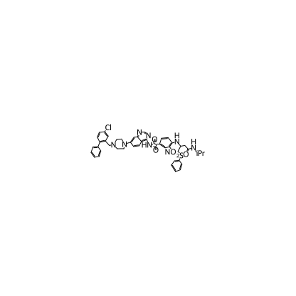 CC(C)NC(=O)CC(CSc1ccccc1)Nc1ccc(S(=O)(=O)Nc2ncnc3cc(N4CCN(Cc5cc(Cl)ccc5-c5ccccc5)CC4)ccc23)cc1[N+](=O)[O-]